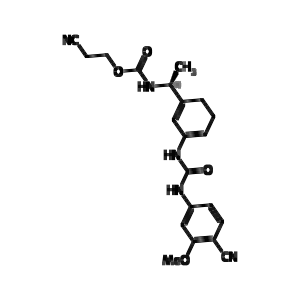 COc1cc(NC(=O)NC2=CCCC([C@H](C)NC(=O)OCCC#N)=C2)ccc1C#N